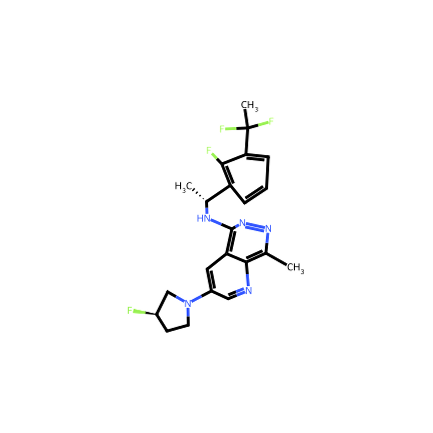 Cc1nnc(N[C@H](C)c2cccc(C(C)(F)F)c2F)c2cc(N3CC[C@@H](F)C3)cnc12